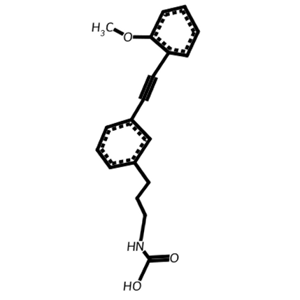 COc1ccccc1C#Cc1cccc(CCCNC(=O)O)c1